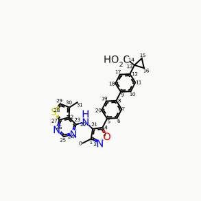 Cc1noc(-c2ccc(-c3ccc(C4(C(=O)O)CC4)cc3)cc2)c1Nc1ncnc2scc(C)c12